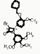 COc1ccc([C@H]2[C@H](Br)C(=O)N2c2cc(OC)c(OC)c(OC)c2)cc1OCc1ccccc1